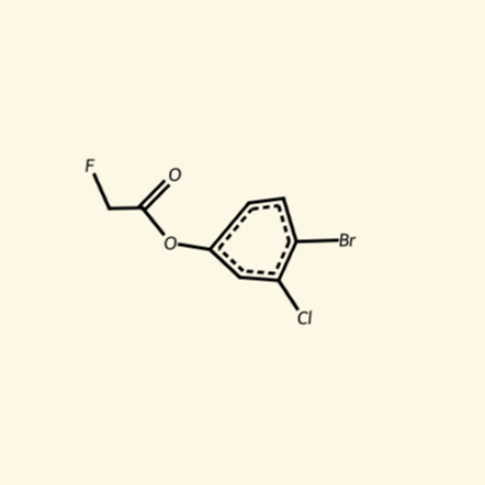 O=C(CF)Oc1ccc(Br)c(Cl)c1